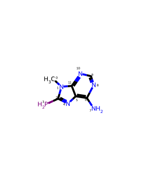 Cn1c(P)nc2c(N)ncnc21